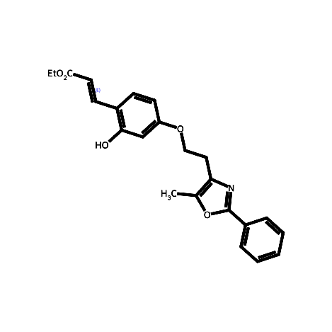 CCOC(=O)/C=C/c1ccc(OCCc2nc(-c3ccccc3)oc2C)cc1O